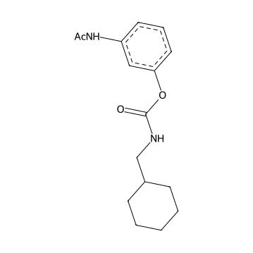 CC(=O)Nc1cccc(OC(=O)NCC2CCCCC2)c1